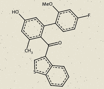 COc1cc(F)ccc1-c1cc(O)cc(C)c1C(=O)c1csc2ccccc12